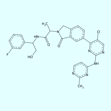 Cc1nccc(Nc2ncc(Cl)c(-c3ccc4c(c3)C(=O)N(C(C)C(=O)NC(CO)c3cccc(F)c3)C4)n2)n1